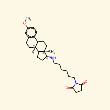 COc1ccc2c(c1)CC[C@@H]1C2CC[C@@]2(C)C1CC[C@@H]2NCCCCCCN1C(=O)CCC1=O